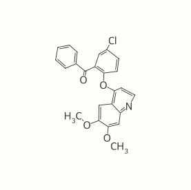 COc1cc2nccc(Oc3ccc(Cl)cc3C(=O)c3ccccc3)c2cc1OC